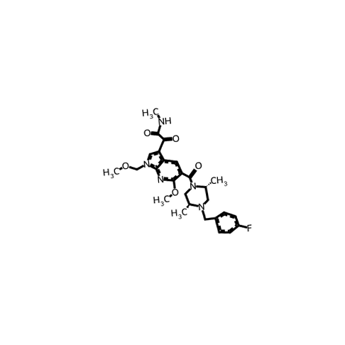 CNC(=O)C(=O)c1cn(COC)c2nc(OC)c(C(=O)N3C[C@H](C)N(Cc4ccc(F)cc4)C[C@H]3C)cc12